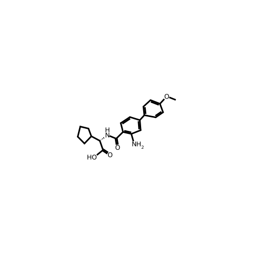 COc1ccc(-c2ccc(C(=O)N[C@H](C(=O)O)C3CCCC3)c(N)c2)cc1